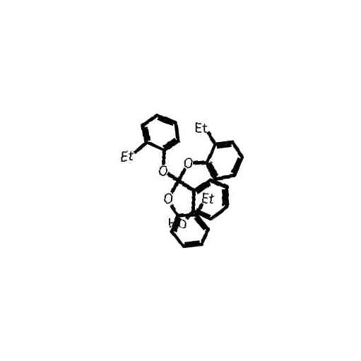 CCc1ccccc1OC(Oc1ccccc1CC)(Oc1ccccc1CC)c1ccccc1O